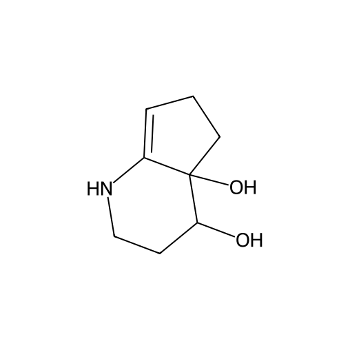 OC1CCNC2=CCCC21O